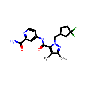 COc1nn(CC2CCC(F)(F)C2)c(C(=O)Nc2ccnc(C(N)=O)c2)c1C(F)(F)F